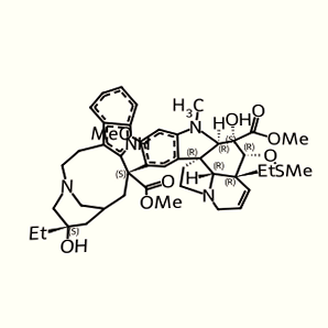 CC[C@]1(O)CC2CN(CCc3c([nH]c4ccccc34)[C@@](C(=O)OC)(c3cc4c(cc3OC)N(C)[C@H]3[C@@](O)(C(=O)OC)[C@H](OSC)[C@]5(CC)C=CCN6CC[C@]43[C@@H]65)C2)C1